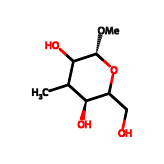 CO[C@@H]1OC(CO)[C@@H](O)C(C)C1O